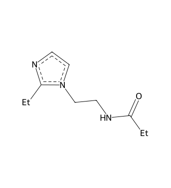 CCC(=O)NCCn1ccnc1CC